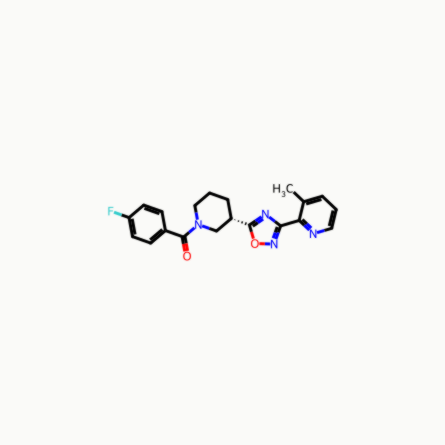 Cc1cccnc1-c1noc([C@H]2CCCN(C(=O)c3ccc(F)cc3)C2)n1